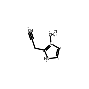 C#CCc1[nH]cc[n+]1C.[Cl-]